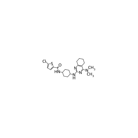 CN(C)c1nc(NC2CCC(NC(=O)c3ccc(Cl)s3)CC2)nc2c1CCCC2